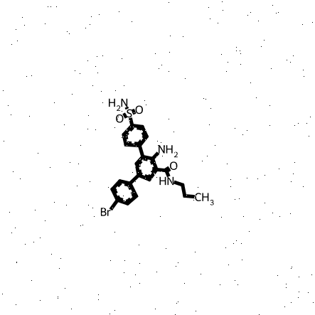 CCCNC(=O)c1cc(-c2ccc(Br)cc2)cc(-c2ccc(S(N)(=O)=O)cc2)c1N